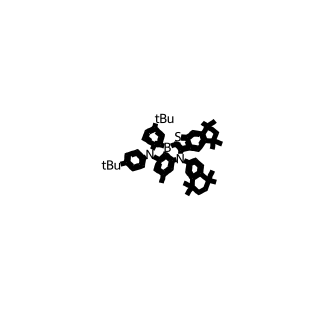 Cc1cc2c3c(c1)N(c1ccc4c(c1)C(C)(C)CCC4(C)C)c1c(sc4cc5c(cc14)C(C)(C)CC5(C)C)B3c1cc(C(C)(C)C)ccc1N2c1ccc(C(C)(C)C)cc1